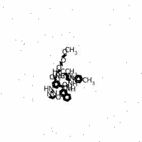 C#Cc1cc(Nc2nccc(Oc3ccc(NC(=O)Nc4cc(C(C)(C)C)nn4-c4ccc(C)cc4)c4c3CCCC4)n2)cc(C(=O)NCCOCCOCCOC)c1